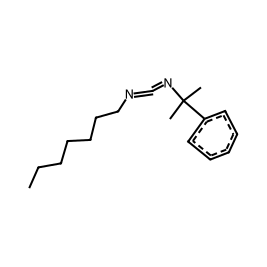 CCCCCCCN=C=NC(C)(C)c1ccccc1